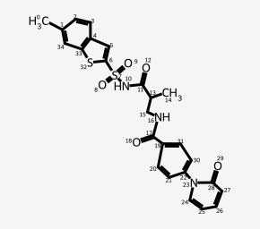 Cc1ccc2cc(S(=O)(=O)NC(=O)C(C)CNC(=O)c3ccc(-n4ccccc4=O)cc3)sc2c1